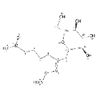 C[S+]([O-])CCCC/C(=N\OS(=O)(=O)O)SC1O[C@H](CO)[C@@H](O)[C@H](O)[C@H]1O